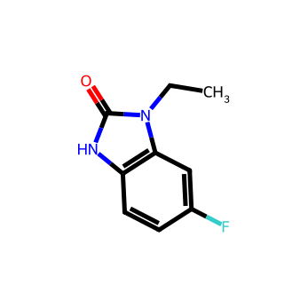 CCn1c(=O)[nH]c2ccc(F)cc21